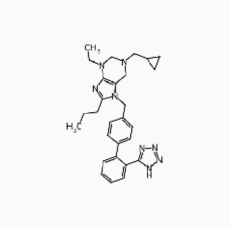 CCCc1nc2c(n1Cc1ccc(-c3ccccc3-c3nnn[nH]3)cc1)CN(CC1CC1)CN2CC